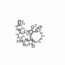 Cc1cc(Nc2ncc3c(=O)n4n(c3n2)-c2ccc3c(c2)N(CCC/C=C\C4)C(=O)CO3)ccc1N1CCN(C)CC1